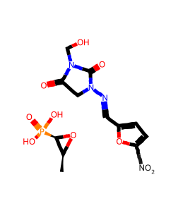 C[C@@H]1O[C@@H]1P(=O)(O)O.O=C1CN(N=Cc2ccc([N+](=O)[O-])o2)C(=O)N1CO